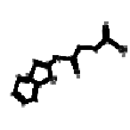 O=C(O)CCC(=O)Nc1cc2ccccc2[nH]1